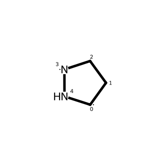 [CH]1CC[N]N1